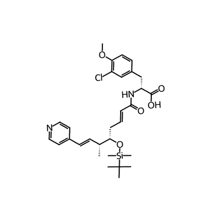 COc1ccc(C[C@@H](NC(=O)/C=C/C[C@H](O[Si](C)(C)C(C)(C)C)[C@H](C)/C=C/c2ccncc2)C(=O)O)cc1Cl